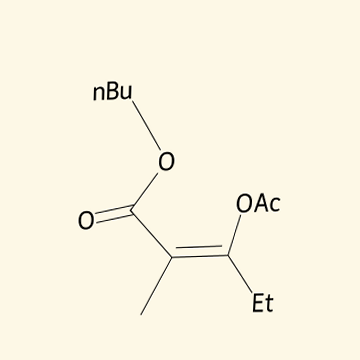 CCCCOC(=O)C(C)=C(CC)OC(C)=O